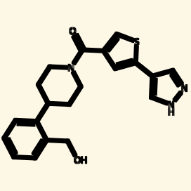 O=C(c1csc(-c2cn[nH]c2)c1)N1CCC(c2ccccc2CO)CC1